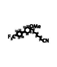 COC1(CCC=CC=CC#N)CCC(c2ccc(C(F)(F)F)cc2)CC1